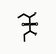 CCC(F)S(=O)(=O)C(F)CC